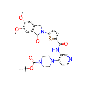 COc1cc2c(cc1OC)C(=O)N(c1ccc(C(=O)Nc3cnccc3N3CCN(C(=O)OC(C)(C)C)CC3)s1)C2